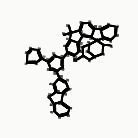 CCC1CC2CC(C)C3(c4ccccc4-c4ccc5c(c43)-c3ccc(-c4nc(-c6ccccc6)nc(-c6ccc7c(c6)oc6ccccc67)n4)cc3C5(C)C)C(C1)C2